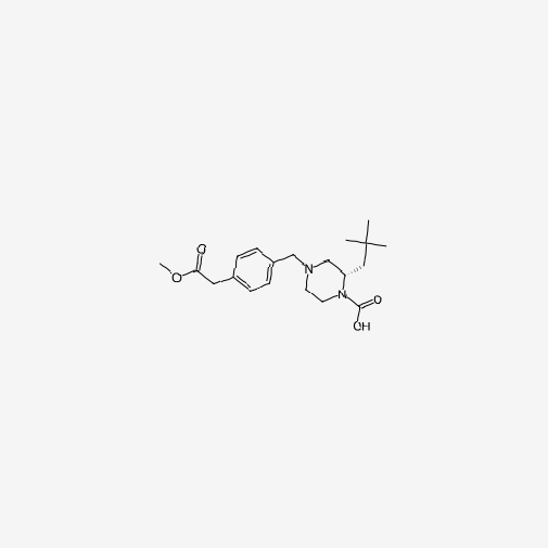 COC(=O)Cc1ccc(CN2CCN(C(=O)O)[C@@H](CC(C)(C)C)C2)cc1